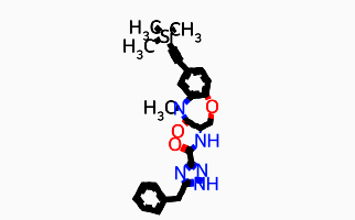 CN1C(=O)[C@@H](NC(=O)c2n[nH]c(Cc3ccccc3)n2)COc2ccc(C#C[Si](C)(C)C)cc21